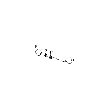 O=C(NSCCCN1CCOCC1)Nc1noc2c(F)cccc12